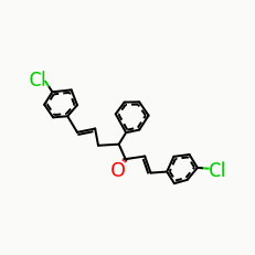 O=C(C=Cc1ccc(Cl)cc1)C(CC=Cc1ccc(Cl)cc1)c1ccccc1